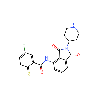 O=C(Nc1cccc2c1C(=O)N(C1CCNCC1)C2=O)C1=CC(Cl)=CCC1=S